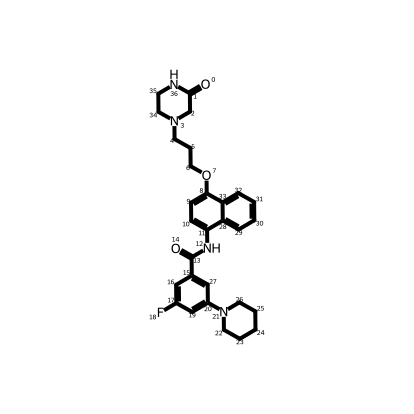 O=C1CN(CCCOc2ccc(NC(=O)c3cc(F)cc(N4CCCCC4)c3)c3ccccc23)CCN1